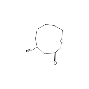 CCCC1CCCCCCCC(=O)C1